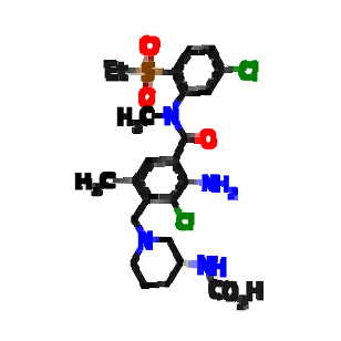 CCS(=O)(=O)c1ccc(Cl)cc1N(C)C(=O)c1cc(C)c(CN2CCC[C@@H](NC(=O)O)C2)c(Cl)c1N